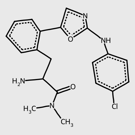 CN(C)C(=O)C(N)Cc1ccccc1-c1cnc(Nc2ccc(Cl)cc2)o1